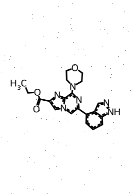 CCOC(=O)c1cn2cc(-c3cccc4[nH]ncc34)nc(N3CCOCC3)c2n1